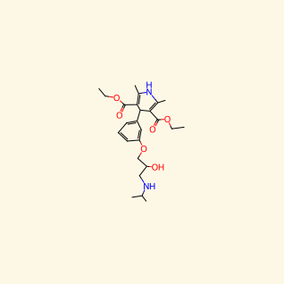 CCOC(=O)C1=C(C)NC(C)=C(C(=O)OCC)C1c1cccc(OCC(O)CNC(C)C)c1